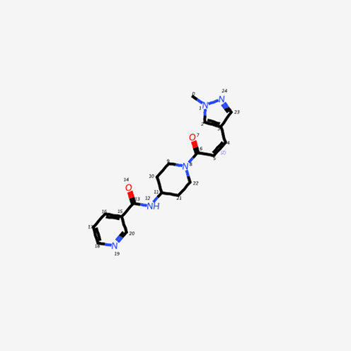 Cn1cc(/C=C\C(=O)N2CCC(NC(=O)c3cccnc3)CC2)cn1